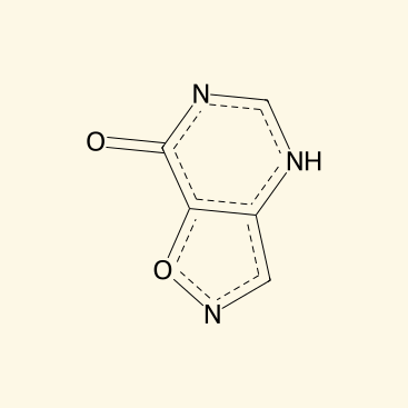 O=c1nc[nH]c2cnoc12